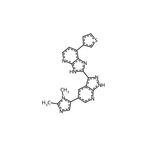 Cc1ncc(-c2cnc3[nH]nc(-c4nc5c(-c6ccsc6)ccnc5[nH]4)c3c2)n1C